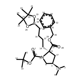 CN(C)[C@H]1CN(C(=O)OC(C)(C)C)[C@@](CCCCB2OC(C)(C)C(C)(C)O2)(C(=O)OCc2ccccc2)C1